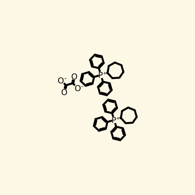 O=C([O-])C(=O)[O-].c1ccc([P+](c2ccccc2)(c2ccccc2)C2CCCCCC2)cc1.c1ccc([P+](c2ccccc2)(c2ccccc2)C2CCCCCC2)cc1